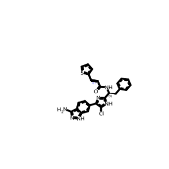 Nc1n[nH]c2cc(-c3nc([C@H](Cc4ccccc4)NC(=O)/C=C/c4cccs4)[nH]c3Cl)ccc12